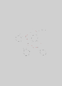 COC(=O)c1cc(OC(=O)c2ccccc2)c(OC(=O)c2ccccc2)c(OC(=O)c2ccccc2)c1C